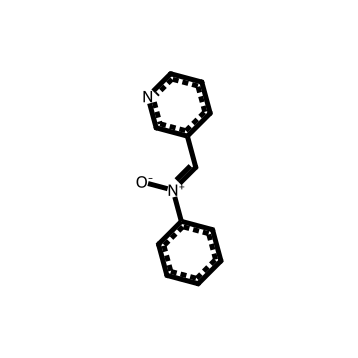 [O-][N+](=Cc1cccnc1)c1ccccc1